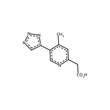 Cc1cc(CC(=O)O)ncc1-n1cnnn1